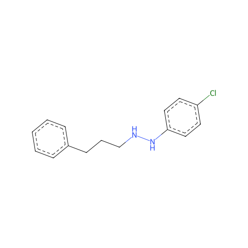 Clc1ccc(NNCCCc2ccccc2)cc1